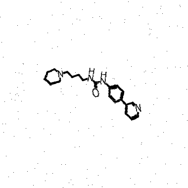 O=C(NCCCCN1CCCCC1)Nc1ccc(-c2cccnc2)cc1